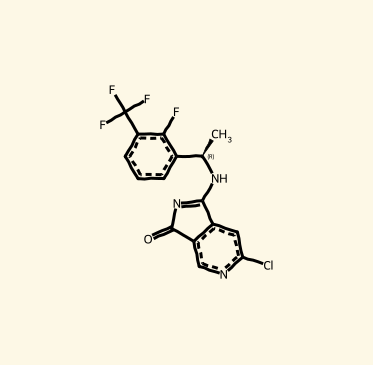 C[C@@H](NC1=NC(=O)c2cnc(Cl)cc21)c1cccc(C(F)(F)F)c1F